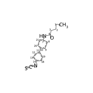 CCCCC(=O)Nc1ccc(-c2ccc(N=C=S)cc2)cc1